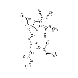 C=CC(=O)OCC(COCC(COC(=O)C=C)(COC(=O)C=C)COC(C)C)COC(=O)C=C